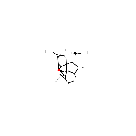 C=C(C)[C@@H]1[C@@H](O)C2OCC34OC5OC[C@H](O)C51C23CC(CO)OC[C@H]4C